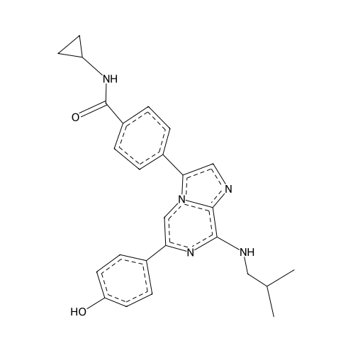 CC(C)CNc1nc(-c2ccc(O)cc2)cn2c(-c3ccc(C(=O)NC4CC4)cc3)cnc12